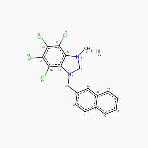 CN1CN(Cc2ccc3ccccc3c2)c2c(Cl)c(Cl)c(Cl)c(Cl)c21.I